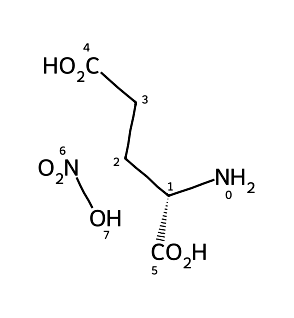 N[C@@H](CCC(=O)O)C(=O)O.O=[N+]([O-])O